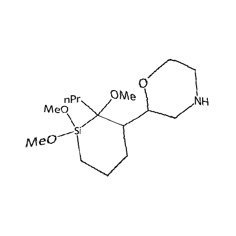 CCCC1(OC)C(C2CNCCO2)CCC[Si]1(OC)OC